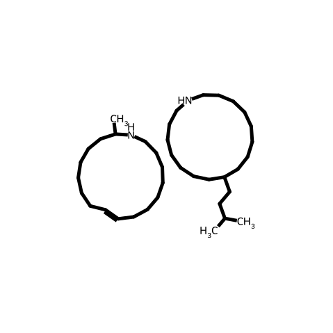 CC(C)CCC1CCCCCCCCNCCCCCCC1.CC1CCCCCC/C=C/CCCCCCCN1